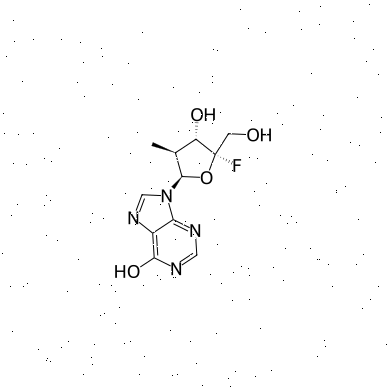 C[C@@H]1[C@H](n2cnc3c(O)ncnc32)O[C@](F)(CO)[C@H]1O